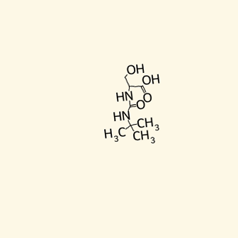 CC(C)(C)NC(=O)NC(CO)C(=O)O